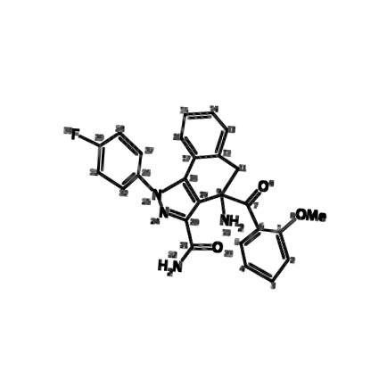 COc1ccccc1C(=O)C1(N)Cc2ccccc2-c2c1c(C(N)=O)nn2-c1ccc(F)cc1